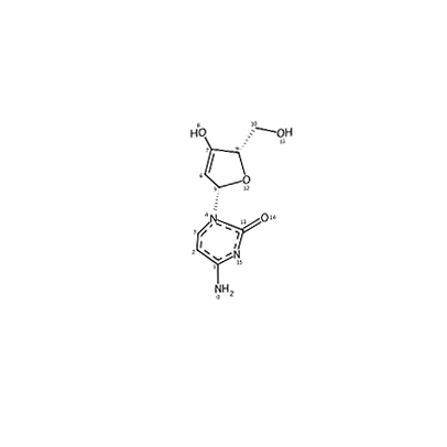 Nc1ccn([C@@H]2C=C(O)[C@H](CO)O2)c(=O)n1